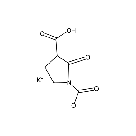 O=C(O)C1CCN(C(=O)[O-])C1=O.[K+]